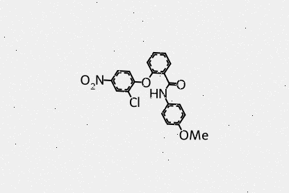 COc1ccc(NC(=O)c2ccccc2Oc2ccc([N+](=O)[O-])cc2Cl)cc1